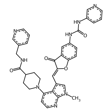 Cn1cc(C=C2Oc3ccc(NC(=O)Nc4cccnc4)cc3C2=O)c2c(N3CCC(C(=O)NCc4cccnc4)CC3)ccnc21